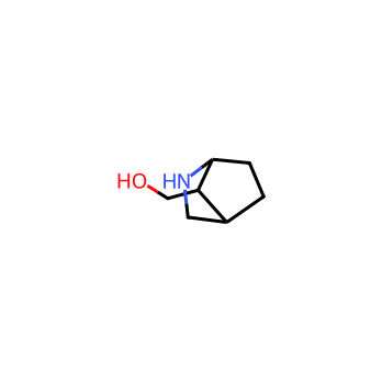 OCC1C2CCC1NC2